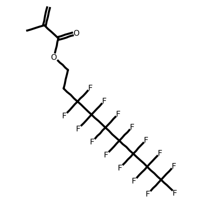 C=C(C)C(=O)OCCC(F)(F)C(F)(F)C(F)(F)C(F)(F)C(F)(F)C(F)(F)C(F)(F)F